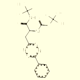 CC(C)(C)NC(=O)C(Cc1nnc(-c2ccccc2)nn1)NC(=O)OC(C)(C)C